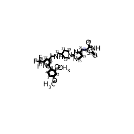 COc1ccc(-c2cc(CNCC3CCN(c4nccc(/C=C5\SC(=O)NC5=O)n4)CC3)cc(C(F)(F)F)n2)c(OC)c1